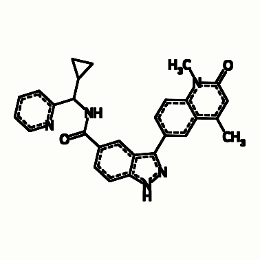 Cc1cc(=O)n(C)c2ccc(-c3n[nH]c4ccc(C(=O)NC(c5ccccn5)C5CC5)cc34)cc12